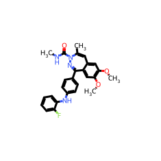 CNC(=O)N1N=C(c2ccc(Nc3ccccc3F)cc2)c2cc(OC)c(OC)cc2C=C1C